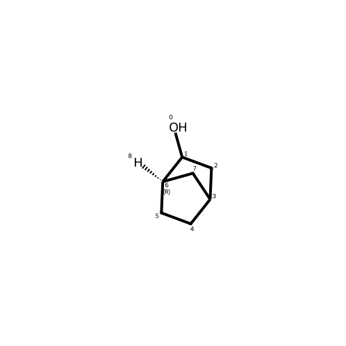 OC1CC2CC[C@@H]1C2